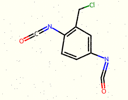 O=C=Nc1ccc(N=C=O)c(CCl)c1